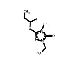 CCC(I)Oc1nn(CC)c(=O)n1C